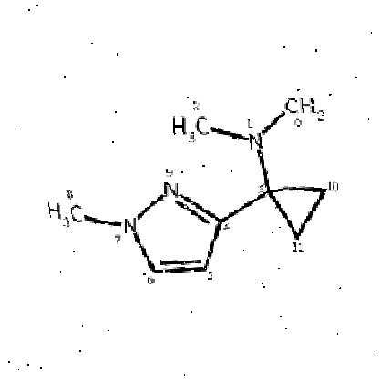 CN(C)C1(c2ccn(C)n2)CC1